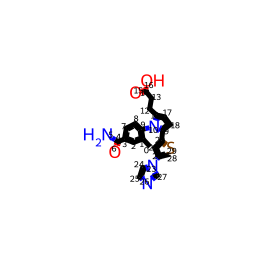 Cc1cc(C(N)=O)ccc1-n1c(CCC(=O)O)ccc1-c1cc(-n2ccnc2)cs1